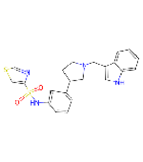 O=S(=O)(Nc1cccc(C2CCN(Cc3c[nH]c4ccccc34)C2)c1)c1cscn1